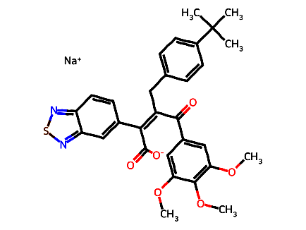 COc1cc(C(=O)C(Cc2ccc(C(C)(C)C)cc2)=C(C(=O)[O-])c2ccc3nsnc3c2)cc(OC)c1OC.[Na+]